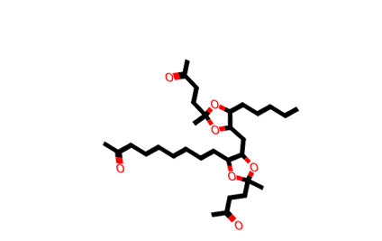 CCCCCC1OC(C)(CCC(C)=O)OC1CC1OC(C)(CCC(C)=O)OC1CCCCCCCC(C)=O